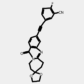 N#Cc1cc(C#Cc2ccc3c(=O)n4c(nc3c2)CCC2(CC4)OCCO2)ccc1F